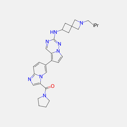 CC(C)CN1CC2(CC(Nc3ncc4c(-c5ccc6ncc(C(=O)N7CCCC7)n6c5)ccn4n3)C2)C1